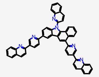 c1ccc2nc(-c3ccc(-c4ccc5c(c4)c4cc(-c6ccc(-c7ccc8ccccc8n7)cn6)c6ccccc6c4n5-c4ccc5ccccc5n4)nc3)ccc2c1